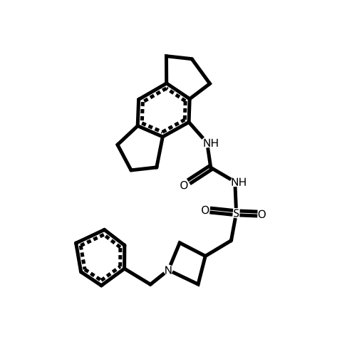 O=C(Nc1c2c(cc3c1CCC3)CCC2)NS(=O)(=O)CC1CN(Cc2ccccc2)C1